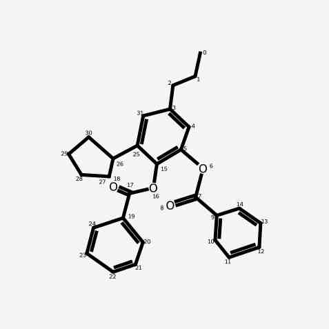 CCCc1cc(OC(=O)c2ccccc2)c(OC(=O)c2ccccc2)c(C2CCCC2)c1